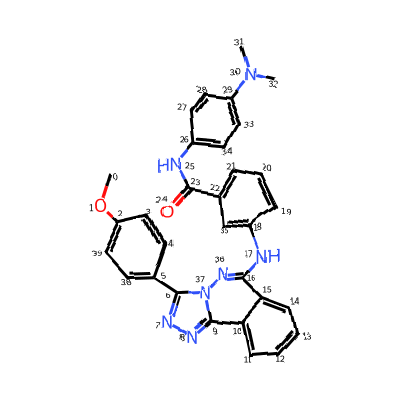 COc1ccc(-c2nnc3c4ccccc4c(Nc4cccc(C(=O)Nc5ccc(N(C)C)cc5)c4)nn23)cc1